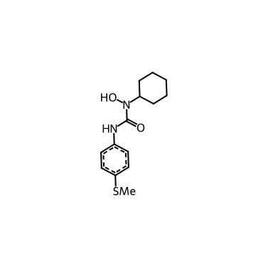 CSc1ccc(NC(=O)N(O)C2CCCCC2)cc1